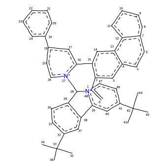 C=Cc1cc2ccc3ccccc3c2cc1-c1cc(-c2ccccc2)cc[n+]1C1c2ccc(C(C)(C)C)cc2-c2cc(C(C)(C)C)cc[n+]21